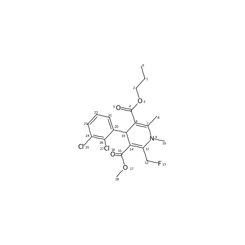 CCCOC(=O)C1=C(C)N(C)C(CF)=C(C(=O)OC)C1c1cccc(Cl)c1Cl